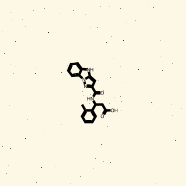 Cc1ccccc1C(CC(=O)O)NC(=O)c1cc2[nH]c3ccccc3n2n1